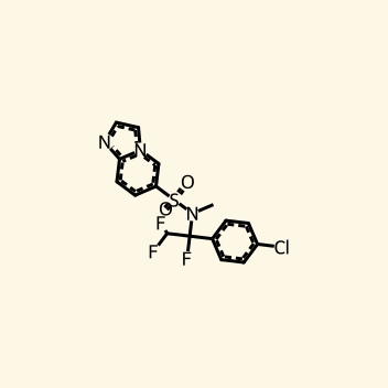 CN(C(F)(c1ccc(Cl)cc1)C(F)F)S(=O)(=O)c1ccc2nccn2c1